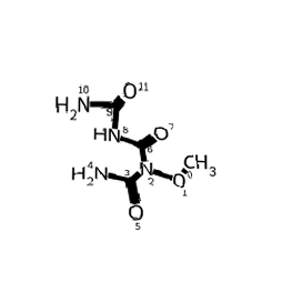 CON(C(N)=O)C(=O)NC(N)=O